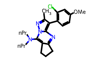 CCCN(CCC)c1c2c(nc3c(-c4ccc(OC)cc4Cl)c(C)nn13)CCC2